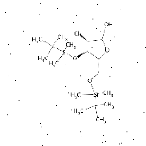 CC(C)(C)[Si](C)(C)OC[C@H]1OC(O)[C@H](Cl)[C@@H]1O[Si](C)(C)C(C)(C)C